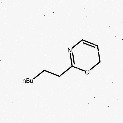 CCCCCCC1=NC=CCO1